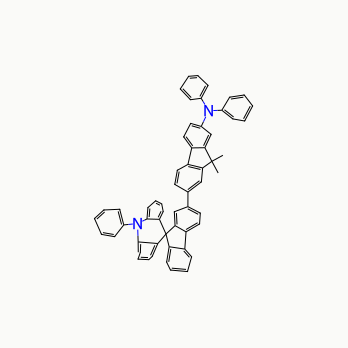 CC1(C)c2cc(-c3ccc4c(c3)C3(c5ccccc5-4)c4ccccc4N(c4ccccc4)c4ccccc43)ccc2-c2ccc(N(c3ccccc3)c3ccccc3)cc21